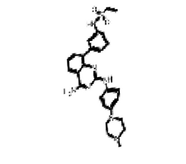 C=CS(=O)(=O)Nc1cccc(-c2cccc3c(N)nc(Nc4ccc(N5CCN(C)CC5)cc4)nc23)c1